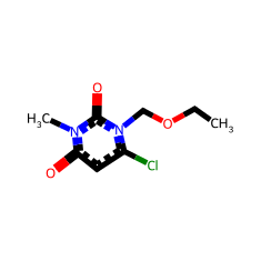 CCOCn1c(Cl)cc(=O)n(C)c1=O